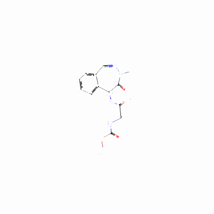 C[C@H](NC(=O)OC(C)(C)C)C(=O)N[C@@H]1C(=O)N(C)N=Cc2ccccc21